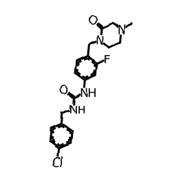 CN1CCN(Cc2ccc(NC(=O)NCc3ccc(Cl)cc3)cc2F)C(=O)C1